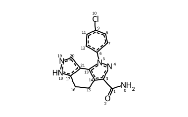 NC(=O)c1nn(-c2ccc(Cl)cc2)c2c1CCc1[nH]ncc1-2